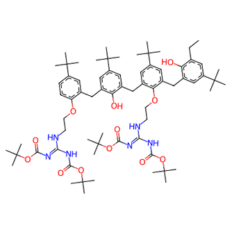 CCc1cc(C(C)(C)C)cc(Cc2cc(C(C)(C)C)cc(Cc3cc(C(C)(C)C)cc(Cc4cc(C(C)(C)C)ccc4OCCN/C(=N\C(=O)OC(C)(C)C)NC(=O)OC(C)(C)C)c3O)c2OCCN/C(=N\C(=O)OC(C)(C)C)NC(=O)OC(C)(C)C)c1O